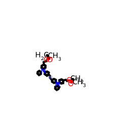 C=C(C)C(=O)OCCc1ccc(N(c2ccccc2)c2ccc(/C=C/c3ccc(N(c4ccccc4)c4ccc(CCOC(=O)C(=C)C)cc4)cc3)cc2)cc1